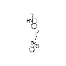 O=C1CCc2cc(OCCCCS(=O)(=O)c3ccccc3)ccc2N1